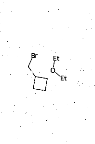 BrCC1CCC1.CCOCC